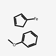 COc1ccccc1.[Fe][C]1=CC=CC1